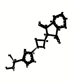 CO[C@H](C)c1nnc([C@H]2C[C@H](N3C(=O)c4ccccc4C3=O)C2)o1